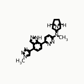 CN(c1ccc(-c2ccc(-c3cn(C)nn3)c3cn[nH]c23)nn1)C1C[C@H]2CC[C@@H](C1)N2